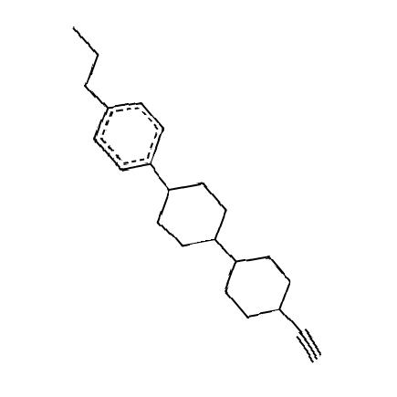 C#CC1CCC(C2CCC(c3ccc(CCC)cc3)CC2)CC1